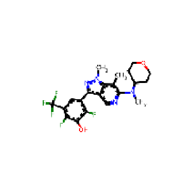 Cc1c(N(C)C2CCOCC2)ncc2c(-c3cc(C(F)(F)F)c(F)c(O)c3F)nn(C)c12